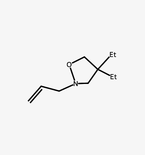 C=CCN1CC(CC)(CC)CO1